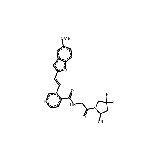 COc1ccc2oc(/C=C/c3cnccc3C(=O)NCC(=O)N3CC(F)(F)CC3C#N)cc2c1